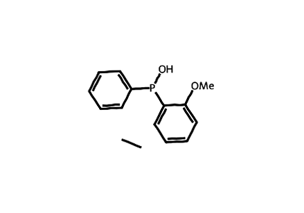 CC.COc1ccccc1P(O)c1ccccc1